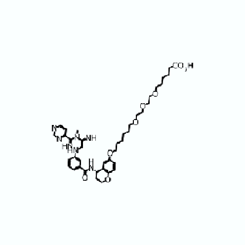 CN(C(=N)CNc1cccc(C(=O)N[C@H]2CCOc3ccc(OCCCCCCOCCOCCOCCCCCC(=O)O)cc32)c1)C(=N)c1ccncn1